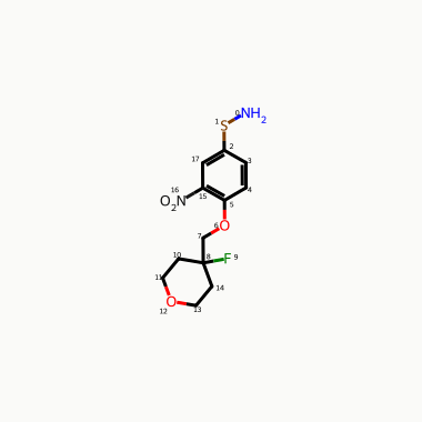 NSc1ccc(OCC2(F)CCOCC2)c([N+](=O)[O-])c1